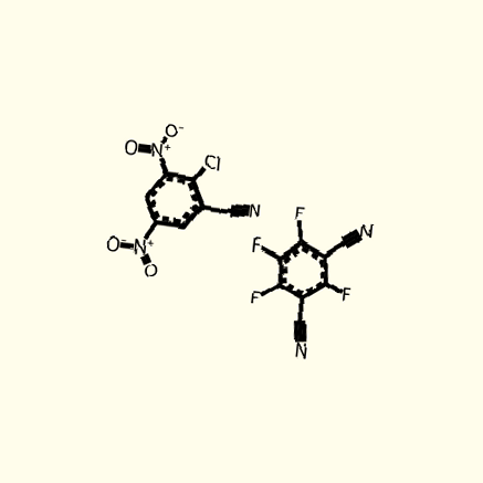 N#Cc1c(F)c(F)c(F)c(C#N)c1F.N#Cc1cc([N+](=O)[O-])cc([N+](=O)[O-])c1Cl